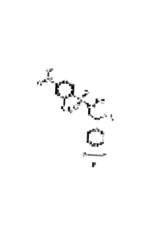 Cc1cc([N+](=O)[O-])ccc1S(=O)(=O)NCC(N)c1ccc(C(F)(F)F)cc1.Cl